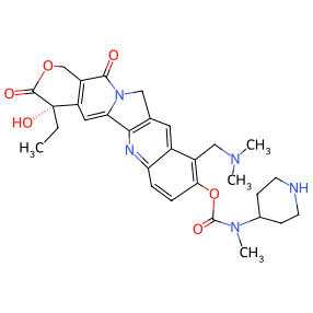 CC[C@@]1(O)C(=O)OCc2c1cc1n(c2=O)Cc2cc3c(CN(C)C)c(OC(=O)N(C)C4CCNCC4)ccc3nc2-1